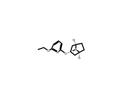 CCOc1cccc(O[C@@H]2C[C@H]3CC[C@@H](C2)N3C)n1